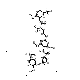 COc1ccc(C(C)(C)C)cc1OC(=O)N(CCNc1nc(OC)c(NC(=O)c2csc(Oc3cc(C(C)(C)C)ccc3OC)n2)c(OC)n1)C(C)C